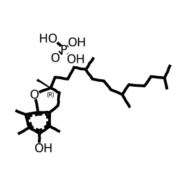 Cc1c(C)c2c(c(C)c1O)CC[C@@](C)(CCCC(C)CCCC(C)CCCC(C)C)O2.O=P(O)(O)O